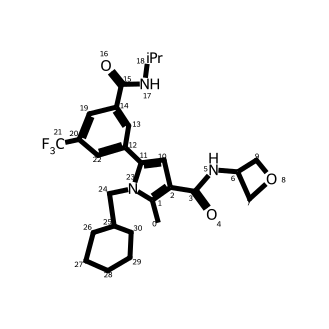 Cc1c(C(=O)NC2COC2)cc(-c2cc(C(=O)NC(C)C)cc(C(F)(F)F)c2)n1CC1CCCCC1